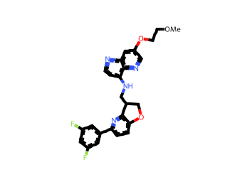 COCCOc1cnc2c(NCC3COc4ccc(-c5cc(F)cc(F)c5)nc43)ccnc2c1